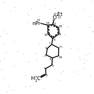 C=CCCC1CCC(c2ccc(OCC)c(CCC)c2)CC1